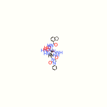 N=C1N[C@H]2[C@H](CN3C(=O)CN(c4ccccc4)C3=O)NC(=N)N3CC(NC(=O)c4cccc5c4CCC5)C(O)(O)[C@]23N1